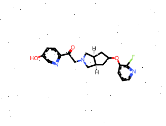 O=C(CN1C[C@H]2CC(Oc3cccnc3F)C[C@H]2C1)c1ccc(O)cn1